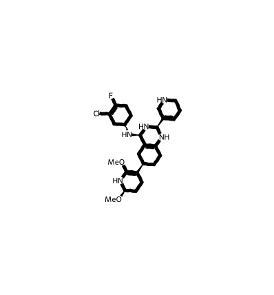 COC1=C([C@@H]2CCC3=C(C2)[C@@H](N[C@H]2CCC(F)=C(Cl)C2)N[C@@H](C2=CCCNC2)N3)CC[C@@H](OC)N1